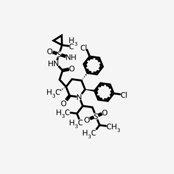 CC(C)C(CS(=O)(=O)C(C)C)N1C(=O)[C@@](C)(CC(=O)NS(=N)(=O)C2(C)CC2)C[C@H](c2cccc(Cl)c2)[C@H]1c1ccc(Cl)cc1